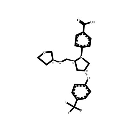 O=C(O)c1ccc(N2C[C@H](Oc3ccc(C(F)(F)F)cc3)C[C@H]2CO[C@H]2CCOC2)cc1